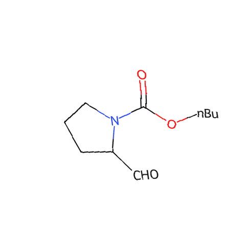 CCCCOC(=O)N1CCCC1C=O